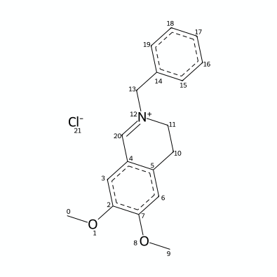 COc1cc2c(cc1OC)CC[N+](Cc1ccccc1)=C2.[Cl-]